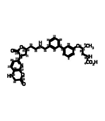 C[C@H](CNC(=O)O)Oc1cccc(-c2cccc(CNCC[C@H]3CN(c4ccc5c(n4)OC(=O)CN5)C(=O)O3)c2)c1